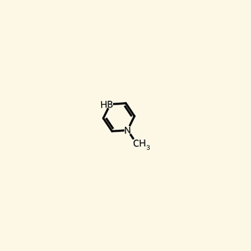 CN1C=CBC=C1